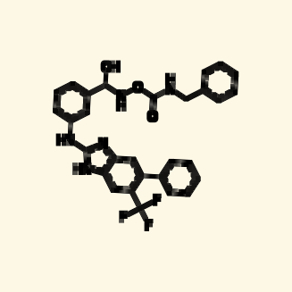 O=C(NCc1ccccc1)ONC(O)c1cccc(Nc2nc3cc(-c4ccccc4)c(C(F)(F)F)cc3[nH]2)c1